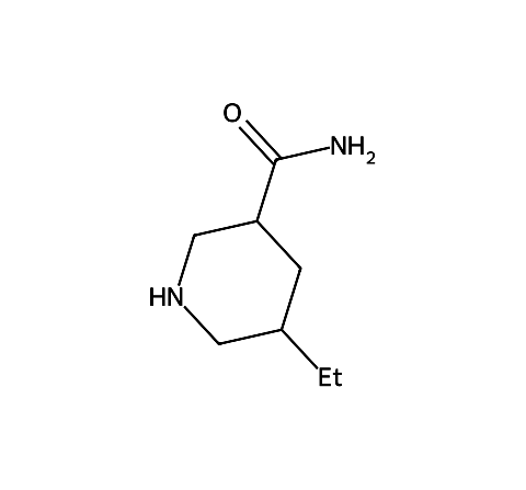 CCC1CNCC(C(N)=O)C1